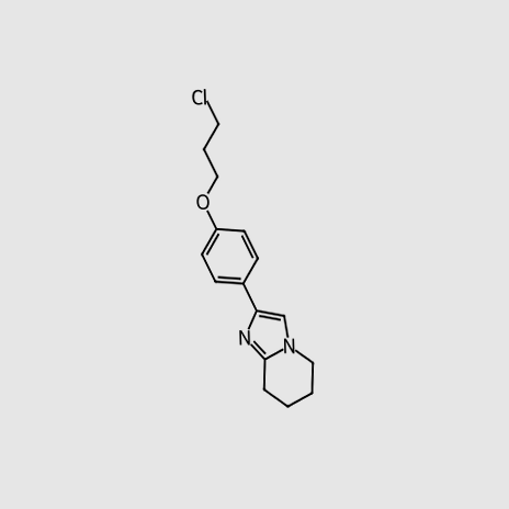 ClCCCOc1ccc(-c2cn3c(n2)CCCC3)cc1